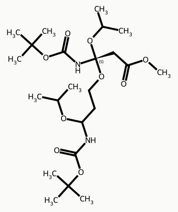 COC(=O)C[C@](NC(=O)OC(C)(C)C)(OCCC(NC(=O)OC(C)(C)C)OC(C)C)OC(C)C